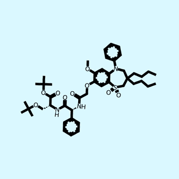 CCCCC1(CCCC)CN(c2ccccc2)c2cc(OC)c(OCC(=O)N[C@@H](C(=O)N[C@H](COC(C)(C)C)C(=O)OC(C)(C)C)c3ccccc3)cc2S(=O)(=O)C1